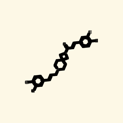 O=C(C=Cc1ccc(Cl)c(Cl)c1)N1CC2(CCN(CC=Cc3ccc(Cl)c(Cl)c3)CC2)C1